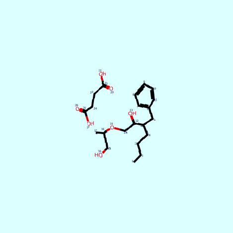 CCCCC(Cc1ccccc1)C(O)COC(C)CO.O=C(O)CCC(=O)O